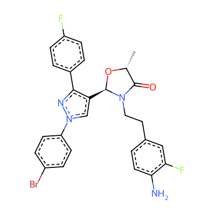 C[C@H]1O[C@H](c2cn(-c3ccc(Br)cc3)nc2-c2ccc(F)cc2)N(CCc2ccc(N)c(F)c2)C1=O